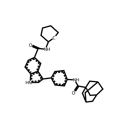 O=C(NC1CCCCC1)c1ccc2[nH]cc(-c3ccc(NC(=O)C45CC6CC(CC(C6)C4)C5)cc3)c2c1